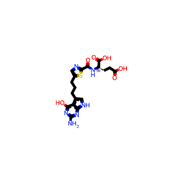 Nc1nc(O)c2c(CCCc3cnc(C(=O)N[C@@H](CCC(=O)O)C(=O)O)s3)c[nH]c2n1